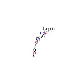 CCC(CC)(CC(=O)Nc1cccc(C=Cc2cccc(COCCCCc3ccc(OCC4CC4)cc3)n2)c1)C(=O)O